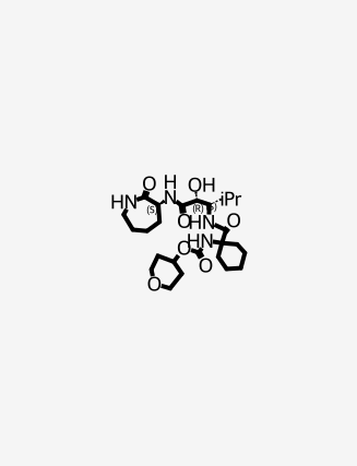 CC(C)[C@H](NC(=O)C1(NC(=O)OC2CCOCC2)CCCCC1)[C@@H](O)C(=O)N[C@H]1CCCCNC1=O